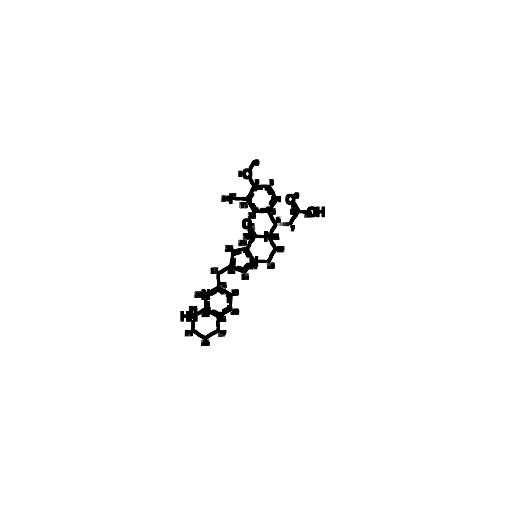 COc1ccc([C@H](CC(=O)O)N2CCn3cc(Cc4ccc5c(n4)NCCC5)cc3C2=O)cc1F